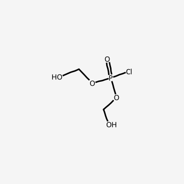 O=P(Cl)(OCO)OCO